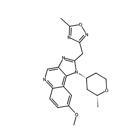 COc1ccc2ncc3nc(Cc4noc(C)n4)n([C@@H]4CCO[C@H](C)C4)c3c2c1